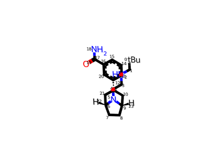 CC(C)(C)CNCCN1[C@@H]2CC[C@H]1C[C@@H](c1cccc(C(N)=O)c1)C2